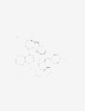 Cc1ccc([C](c2ccc(C)cc2)=[Zn]([C]2=CC=CC2)[C]2(C)c3c4c(c5ccccc5c3C(C)C(C)C2C)-c2cc(C)c(C)c(C)c2C4C)cc1